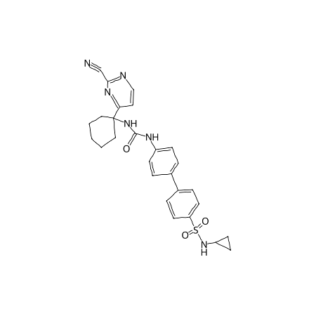 N#Cc1nccc(C2(NC(=O)Nc3ccc(-c4ccc(S(=O)(=O)NC5CC5)cc4)cc3)CCCCC2)n1